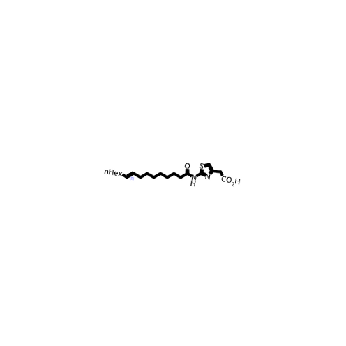 CCCCCC/C=C/CCCCCCCC(=O)Nc1nc(CC(=O)O)cs1